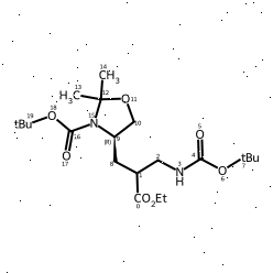 CCOC(=O)C(CNC(=O)OC(C)(C)C)C[C@@H]1COC(C)(C)N1C(=O)OC(C)(C)C